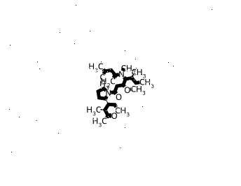 C=C(CC(C)C)N(C)C(C(CC(=O)N1CCC[C@H]1C(CC)[C@@H](C)C(C)=O)OC)[C@@H](C)CC